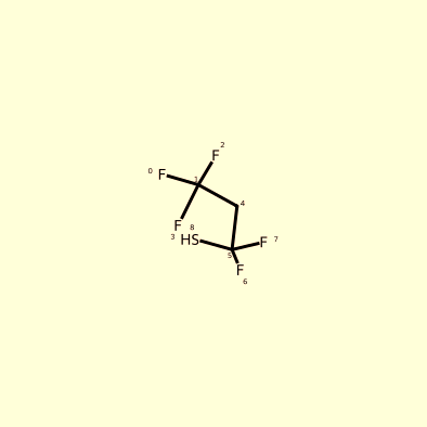 FC(F)(F)CC(F)(F)S